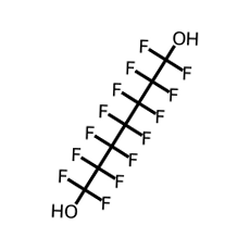 OC(F)(F)C(F)(F)C(F)(F)C(F)(F)C(F)(F)C(F)(F)C(O)(F)F